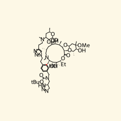 CC[C@H]1OC(=O)[C@H](C)[C@@H](O[C@H]2C[C@@](C)(OC)[C@@H](O)[C@H](C)O2)[C@H](C)[C@@H](O[C@@H]2O[C@H](C)C[C@H](N(C)CCc3cn(CCc4ccc(CN(CC5CN=NN5)C(=O)OC(C)(C)C)cc4)nn3)[C@H]2O)[C@](C)(O)C[C@@H](C)CN(C)[C@H](C)[C@@H](O)[C@]1(C)O